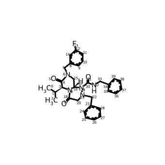 CC(C)[C@H]1C(=O)N(Cc2cccc(F)c2)C[C@H]2N1C(=O)CN(Cc1ccccc1)N2C(=O)NCc1ccccc1